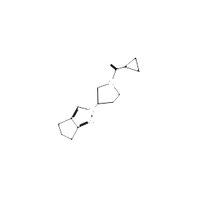 O=C(C1CC1)N1CCC(n2cc3c(n2)CCC3)C1